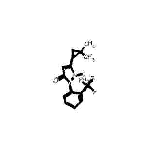 Cn1c(C2CC2(C)C)cc(=O)n1-c1ccccc1C(F)(F)F